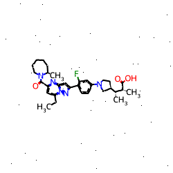 CCc1cc(C(=O)N2CCCCC[C@H]2C)nc2cc(-c3ccc(N4CC[C@@H]([C@@H](C)[C@@H](C)C(=O)O)C4)cc3F)nn12